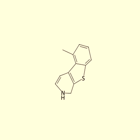 Cc1cccc2sc3c(c12)C=CNC3